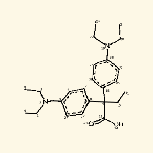 CCN(CC)c1ccc(C(CC)(C(=O)O)c2ccc(N(CC)CC)cc2)cc1